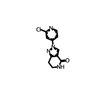 O=C1NCCc2nn(-c3ccnc(Cl)c3)cc21